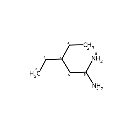 CCC(CC)CC(N)N